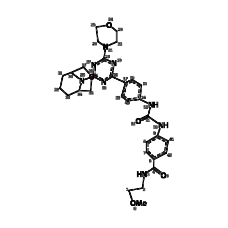 COCCNC(=O)c1ccc(NC(=O)Nc2ccc(-c3nc(N4CCOCC4)nc(N4C5CCCC4COC5)n3)cc2)cc1